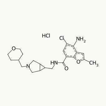 Cc1cc2c(N)c(Cl)cc(C(=O)NCC3C4CN(CC5CCOCC5)CC34)c2o1.Cl